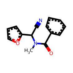 CN(C(=O)c1ccccc1)C(C#N)c1ccco1